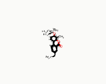 C=Cc1ccc2c(c1)c(=O)oc1c(C)c(O[Si](C)(C)C(C)(C)C)ccc12